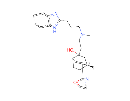 CN(CCCc1nc2ccccc2[nH]1)CCC1(O)C[C@@H]2CCC1C=C2c1ncco1